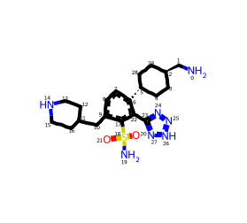 NC[C@H]1CC[C@H](c2ccc(CC3CCNCC3)c(S(N)(=O)=O)c2-c2nn[nH]n2)CC1